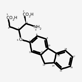 N[C@H](C(=O)O)C(CC(=O)O)Oc1ccc2c(c1)Cc1ccccc1-2